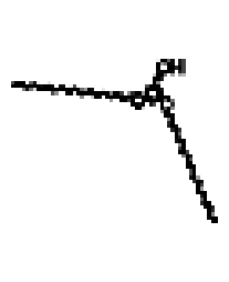 CCCCCC=CCC=CCCCCCCCCOc1cc(CCO)cc(OCCCCCCCCC=CCC=CCCCCC)c1